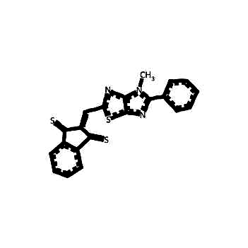 Cn1c(-c2ccccc2)nc2sc(C=C3C(=S)c4ccccc4C3=S)nc21